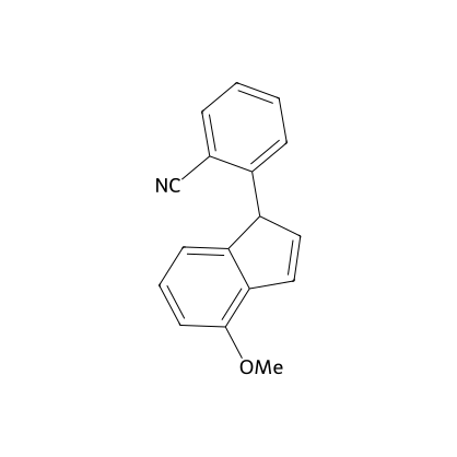 COc1cccc2c1C=CC2c1ccccc1C#N